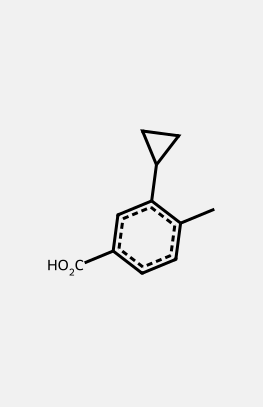 Cc1ccc(C(=O)O)cc1C1CC1